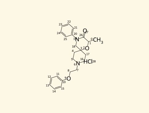 CC1OC2(CCN(CCOc3ccccc3)CC2)CN(c2ccccc2)C1=O.Cl